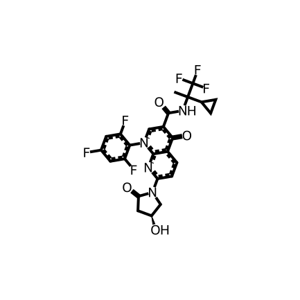 CC(NC(=O)c1cn(-c2c(F)cc(F)cc2F)c2nc(N3C[C@@H](O)CC3=O)ccc2c1=O)(C1CC1)C(F)(F)F